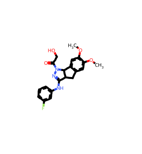 COc1cc2c(cc1OC)C1C(C2)C(Nc2cccc(F)c2)=NN1C(=O)CO